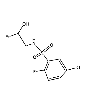 CCC(O)CNS(=O)(=O)c1cc(Cl)ccc1F